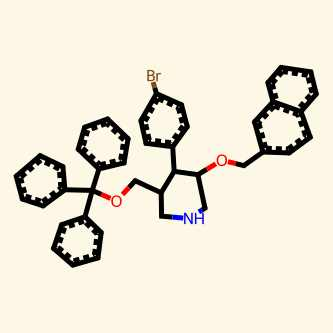 Brc1ccc(C2C(COC(c3ccccc3)(c3ccccc3)c3ccccc3)CNCC2OCc2ccc3ccccc3c2)cc1